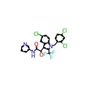 O=C(Nc1cccnc1)C(=O)c1c(C(F)(F)F)n(Cc2ccc(Cl)cc2Cl)c2ccc(Cl)cc12